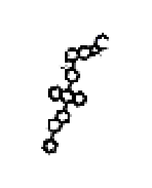 C/C=C\c1c(C)oc2cc3c(ccc4oc5cc(-c6c7ccccc7c(-c7ccc8c(c7)CCC(c7ccccc7)=C8)c7ccccc67)ccc5c43)cc12